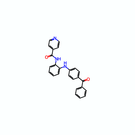 O=C(Nc1ccccc1Nc1ccc(C(=O)c2ccccc2)cc1)c1ccncc1